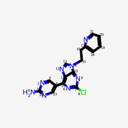 Nc1ncc(-c2nc(Cl)nc3c2ncn3CCc2ccccn2)cn1